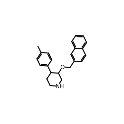 Cc1ccc(C2CCNCC2OCc2ccc3ccccc3c2)cc1